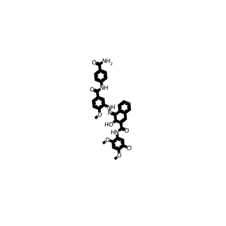 COc1cc(OC)c(NC(=O)C2=Cc3ccccc3/C(=N\Nc3cc(C(=O)Nc4ccc(C(N)=O)cc4)ccc3OC)C2O)cc1Cl